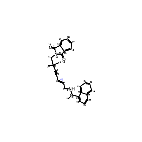 C[C@@H](NC/C=C/C#CC(C)(C)CN1C(=O)c2ccccc2C1=O)c1cccc2ccccc12